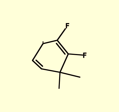 CC1(C)C=C[CH]C(F)=C1F